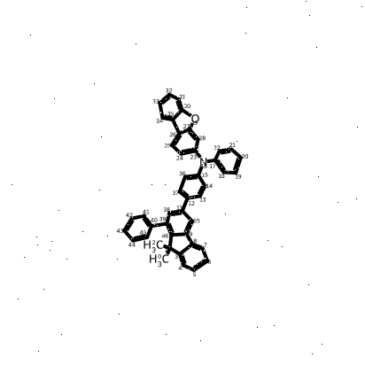 CC1(C)c2ccccc2-c2cc(-c3ccc(N(c4ccccc4)c4ccc5c(c4)oc4ccccc45)cc3)cc(-c3ccccc3)c21